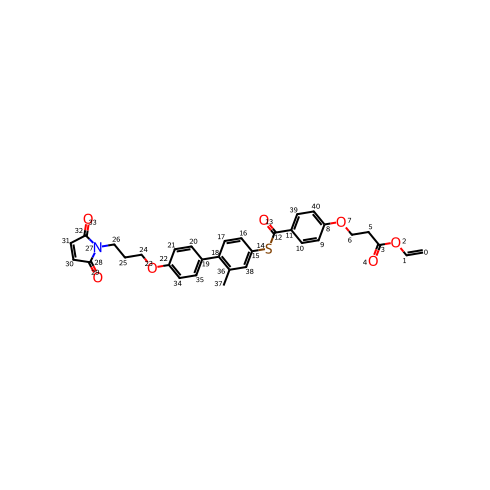 C=COC(=O)CCOc1ccc(C(=O)Sc2ccc(-c3ccc(OCCCN4C(=O)C=CC4=O)cc3)c(C)c2)cc1